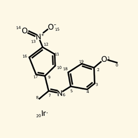 COc1ccc(N=C(C)c2ccc([N+](=O)[O-])cc2)cc1.[Ir]